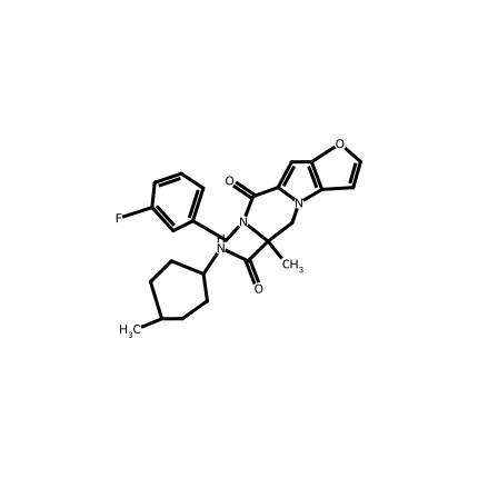 CC1CCC(NC(=O)C2(C)Cn3c(cc4occc43)C(=O)N2Cc2cccc(F)c2)CC1